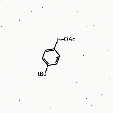 CC(=O)O[I+]c1ccc(C(C)(C)C)cc1